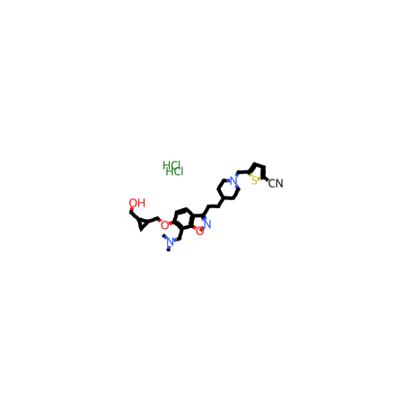 CN(C)Cc1c(OCC2CC2CO)ccc2c(CCC3CCN(Cc4ccc(C#N)s4)CC3)noc12.Cl.Cl